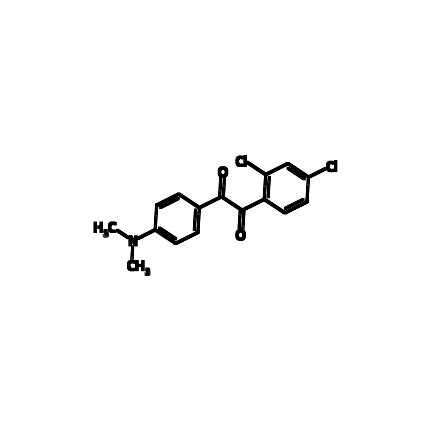 CN(C)c1ccc(C(=O)C(=O)c2ccc(Cl)cc2Cl)cc1